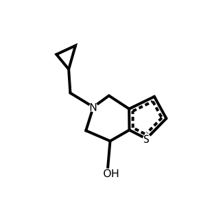 OC1CN(CC2CC2)Cc2ccsc21